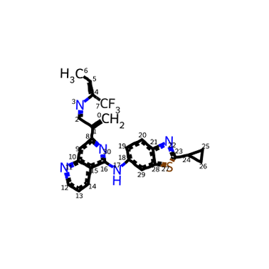 C=C(/C=N\C(=C/C)C(F)(F)F)c1cc2ncccc2c(Nc2ccc3nc(C4CC4)sc3c2)n1